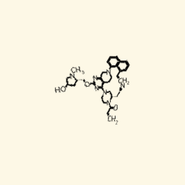 C=CC(=O)N1CCN(c2nc(OC[C@@H]3CC(O)CN3C)nc3c2CCN(c2cccc4cccc(C=C)c24)C3)C[C@@H]1CC#N